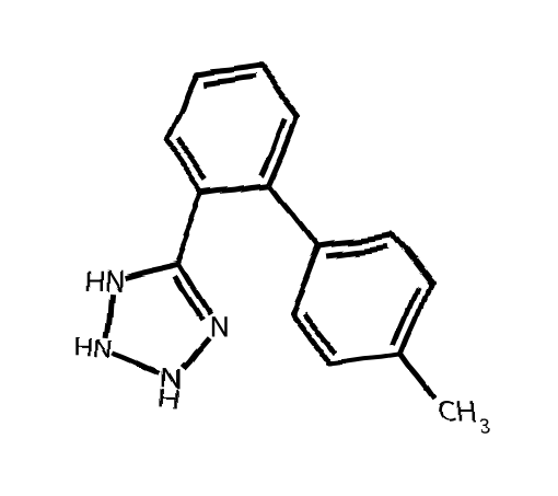 Cc1ccc(-c2ccccc2C2=NNNN2)cc1